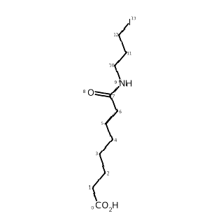 O=C(O)CCCCCCC(=O)NCCCI